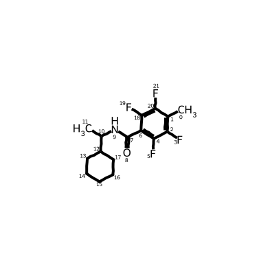 Cc1c(F)c(F)c(C(=O)NC(C)C2CCCCC2)c(F)c1F